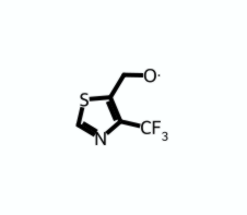 [O]Cc1scnc1C(F)(F)F